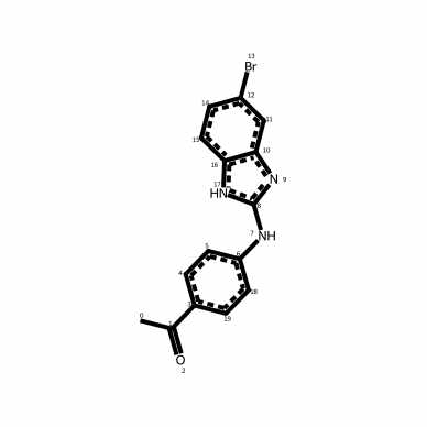 CC(=O)c1ccc(Nc2nc3cc(Br)ccc3[nH]2)cc1